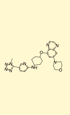 Cn1nnnc1-c1ccc(NC2CCC(Oc3cc(N4CCOCC4)cc4nccnc34)CC2)nc1